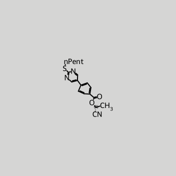 CCCCCSc1ncc(-c2ccc(C(=O)O[C@H](C)C#N)cc2)cn1